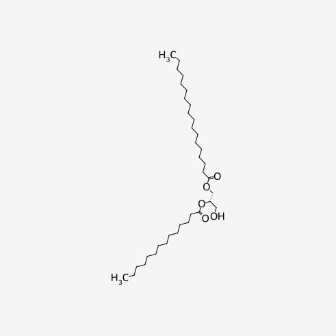 CCCCCCCCCCCCCCCCCC(=O)OC[C@H](CO)OC(=O)CCCCCCCCCCCCC